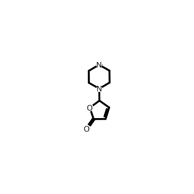 O=C1C=CC(N2CC[N]CC2)O1